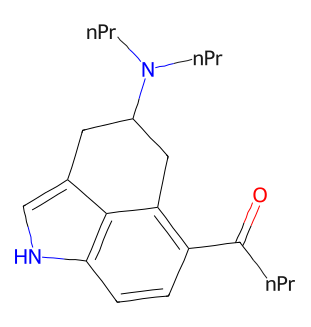 CCCC(=O)c1ccc2[nH]cc3c2c1CC(N(CCC)CCC)C3